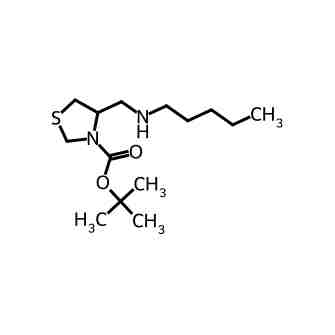 CCCCCNCC1CSCN1C(=O)OC(C)(C)C